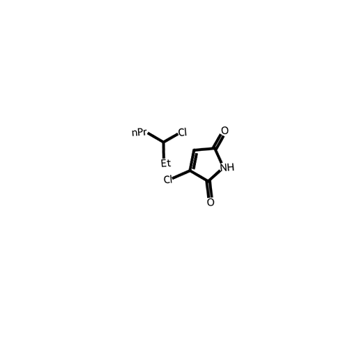 CCCC(Cl)CC.O=C1C=C(Cl)C(=O)N1